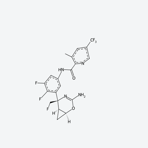 Cc1cc(C(F)(F)F)cnc1C(=O)Nc1cc(F)c(F)c([C@]2(CF)N=C(N)O[C@H]3C[C@H]32)c1